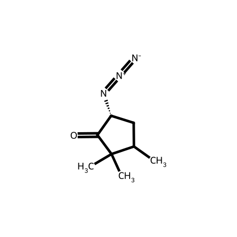 CC1C[C@@H](N=[N+]=[N-])C(=O)C1(C)C